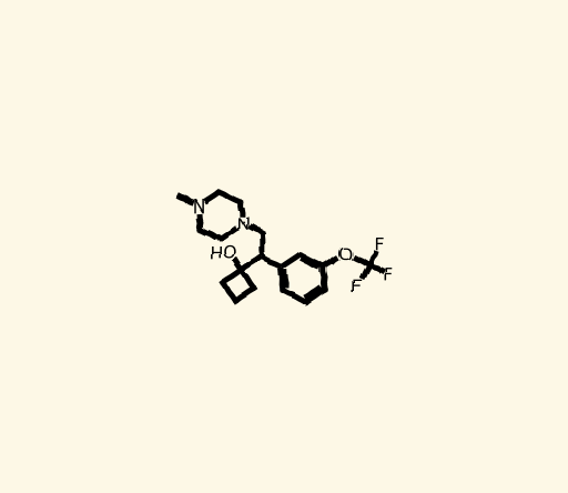 CN1CCN(CC(c2cccc(OC(F)(F)F)c2)C2(O)CCC2)CC1